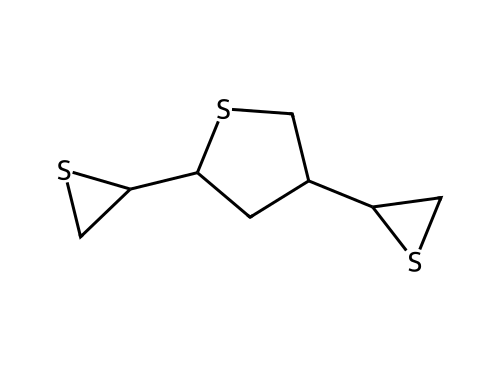 C1SC(C2CS2)CC1C1CS1